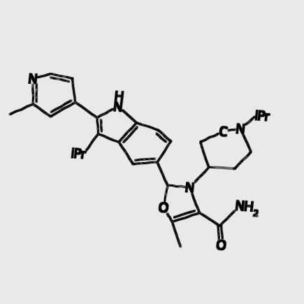 CC1=C(C(N)=O)N(C2CCN(C(C)C)CC2)C(c2ccc3[nH]c(-c4ccnc(C)c4)c(C(C)C)c3c2)O1